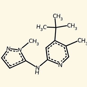 Cc1cnc(Nc2ccnn2C)cc1C(C)(C)C